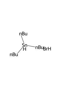 Br.CCC[CH2][SnH]([CH2]CCC)[CH2]CCC